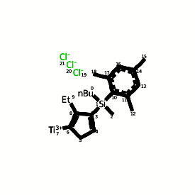 CCCC[Si](C)(C1=CC[C]([Ti+3])=C1CC)c1c(C)cc(C)cc1C.[Cl-].[Cl-].[Cl-]